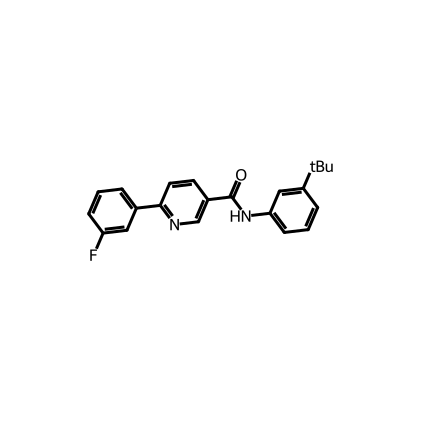 CC(C)(C)c1cccc(NC(=O)c2ccc(-c3cccc(F)c3)nc2)c1